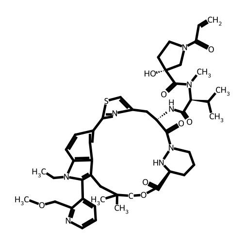 C=CC(=O)N1CC[C@](O)(C(=O)N(C)[C@H](C(=O)N[C@H]2Cc3csc(n3)-c3ccc4c(c3)c(c(-c3cccnc3COC)n4CC)CC(C)(C)COCC3(C=O)CCCN(N3)C2=O)C(C)C)C1